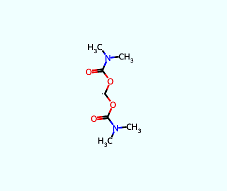 CN(C)C(=O)O[CH]OC(=O)N(C)C